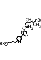 CCCCCCOCCCCc1ccc(-c2cncc(O[SiH2]CC(C)CCC(C)CCCC)n2)cn1